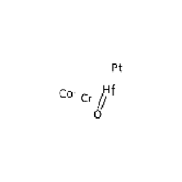 [Co].[Cr].[O]=[Hf].[Pt]